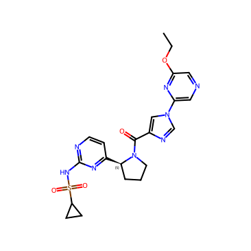 CCOc1cncc(-n2cnc(C(=O)N3CCC[C@H]3c3ccnc(NS(=O)(=O)C4CC4)n3)c2)n1